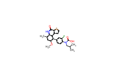 COc1cc(C)c2[nH]c(=O)c3sccc3c2c1-c1ccc(N(CC(C)C)C(=O)O)c(F)c1